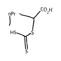 CC(SC(=S)S)C(=O)O.CCCC